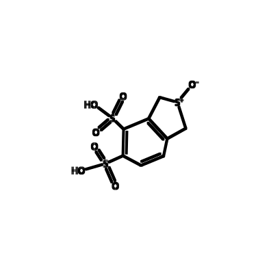 O=S(=O)(O)c1ccc2c(c1S(=O)(=O)O)C[S+]([O-])C2